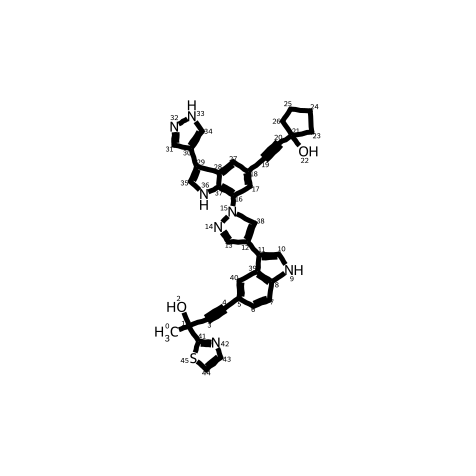 CC(O)(C#Cc1ccc2[nH]cc(-c3cnn(-c4cc(C#CC5(O)CCCC5)cc5c(-c6cn[nH]c6)c[nH]c45)c3)c2c1)c1nccs1